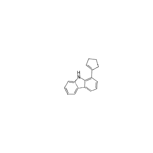 C1=C(c2cccc3c2[nH]c2ccccc23)CCC1